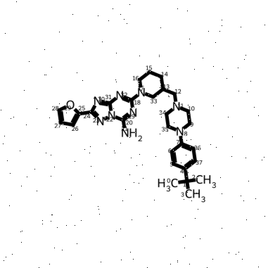 CC(C)(C)c1ccc(N2CCN(CC3CCCN(c4nc(N)n5nc(-c6ccco6)nc5n4)C3)CC2)cc1